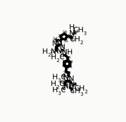 C=CN(CC)c1nc(/C=C/c2ccc(CC(=C)Nc3nc(N)c4ncn(C5CCC(C(=C)NCC)C5)c4n3)cc2)n(C)c1C(=C)NC